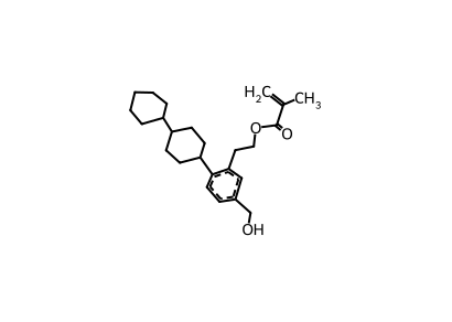 C=C(C)C(=O)OCCc1cc(CO)ccc1C1CCC(C2CCCCC2)CC1